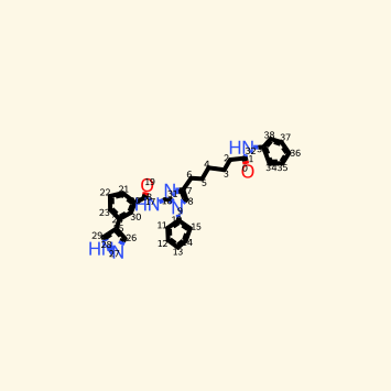 O=C(CCCCCc1cn(-c2ccccc2)c(NC(=O)c2cccc(-c3cn[nH]c3)c2)n1)Nc1ccccc1